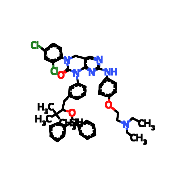 CCN(CC)CCOc1ccc(Nc2ncc3c(n2)N(c2cccc(CC(O[SiH](c4ccccc4)c4ccccc4)C(C)(C)C)c2)C(=O)N(c2ccc(Cl)cc2Cl)C3)cc1